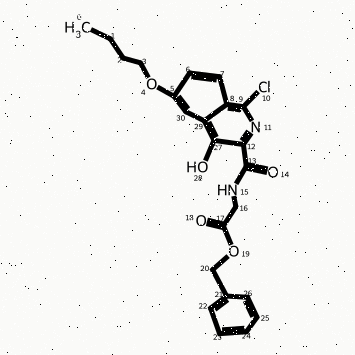 CCCCOc1ccc2c(Cl)nc(C(=O)NCC(=O)OCc3ccccc3)c(O)c2c1